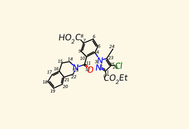 CCOC(=O)c1nn(-c2ccc(C(=O)O)cc2C(=O)N2CCc3ccccc3C2)c(C)c1Cl